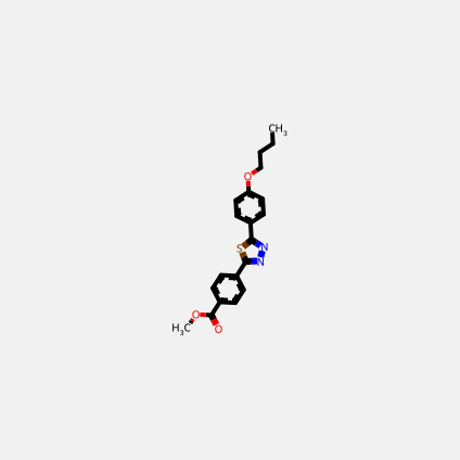 CCCCOc1ccc(-c2nnc(-c3ccc(C(=O)OC)cc3)s2)cc1